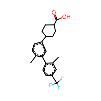 Cc1cc(C(F)(F)F)ccc1-c1cc(C2CCC(C(=O)O)CC2)ccc1C